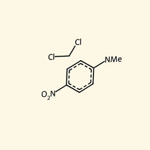 CNc1ccc([N+](=O)[O-])cc1.ClCCl